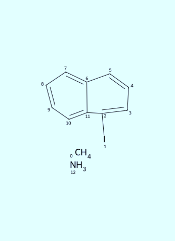 C.Ic1cccc2ccccc12.N